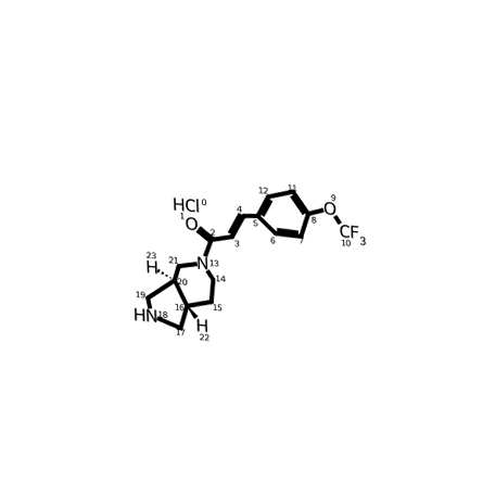 Cl.O=C(/C=C/c1ccc(OC(F)(F)F)cc1)N1CC[C@@H]2CNC[C@H]2C1